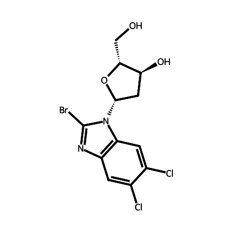 OC[C@H]1O[C@@H](n2c(Br)nc3cc(Cl)c(Cl)cc32)C[C@@H]1O